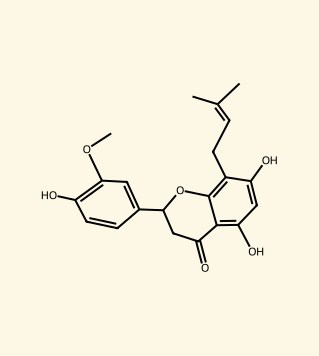 COc1cc(C2CC(=O)c3c(O)cc(O)c(CC=C(C)C)c3O2)ccc1O